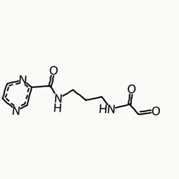 O=CC(=O)NCCCNC(=O)c1cnccn1